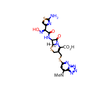 CNc1cc(SCC2=C(C(=O)O)N3C(=O)C(NC(=O)C(=NO)c4csc(N)n4)[C@@H]3SC2)nn2nnnc12